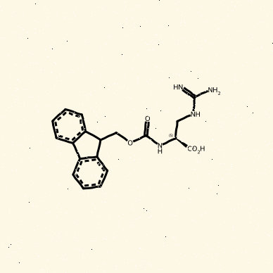 N=C(N)NC[C@H](NC(=O)OCC1c2ccccc2-c2ccccc21)C(=O)O